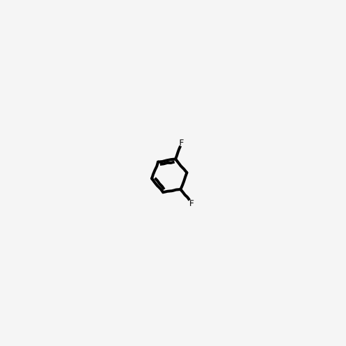 F[C]1C=CC=C(F)C1